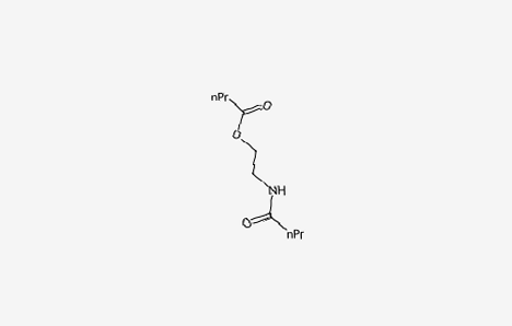 CCCC(=O)NCCOC(=O)CCC